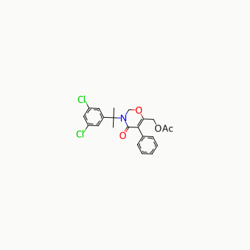 CC(=O)OCC1=C(c2ccccc2)C(=O)N(C(C)(C)c2cc(Cl)cc(Cl)c2)CO1